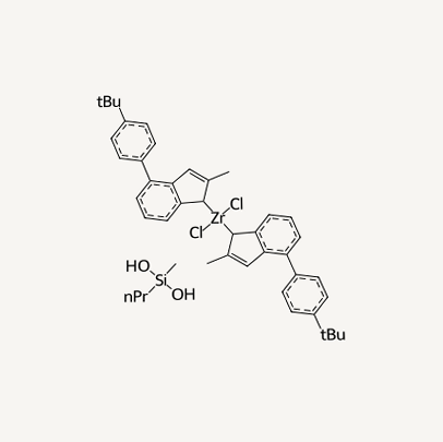 CC1=Cc2c(-c3ccc(C(C)(C)C)cc3)cccc2[CH]1[Zr]([Cl])([Cl])[CH]1C(C)=Cc2c(-c3ccc(C(C)(C)C)cc3)cccc21.CCC[Si](C)(O)O